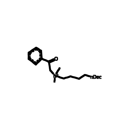 CCCCCCCCCCCCCC[N+](C)(C)CC(=O)c1ccccc1